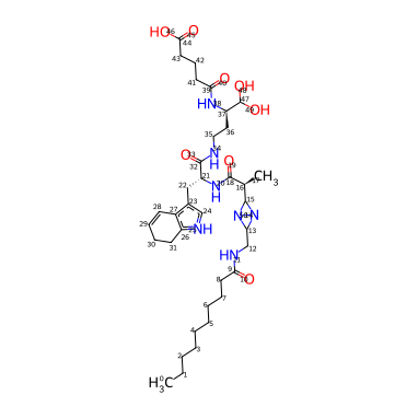 CCCCCCCCCC(=O)NCC1N2C([C@H](C)C(=O)N[C@H](Cc3c[nH]c4c3C=CCC4)C(=O)NCC[C@@H](NC(=O)CCCC(=O)O)C(O)O)N12